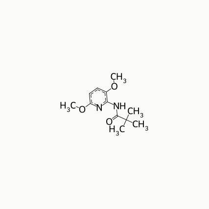 COc1ccc(OC)c(NC(=O)C(C)(C)C)n1